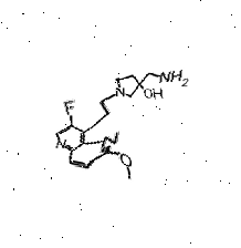 COc1ccc2ncc(F)c(CCN3CCC(O)(CN)C3)c2n1